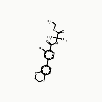 CCOC(=O)C(C)(C)NC(=O)c1ncc(-c2ccc3c(c2)OCCO3)cc1O